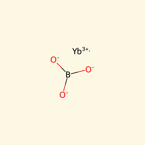 [O-]B([O-])[O-].[Yb+3]